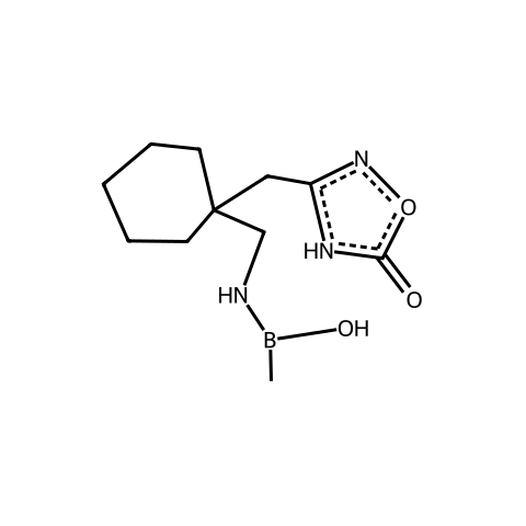 CB(O)NCC1(Cc2noc(=O)[nH]2)CCCCC1